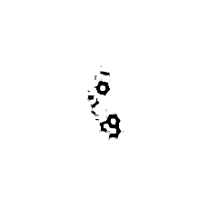 O=C1CSc2ccc(N3C[C@@H](CNC[C@H]4Cn5c(=O)ccc6ccc(F)c4c65)OC3=O)cc2N1